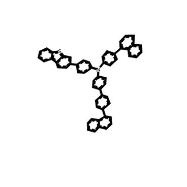 c1ccc2c(-c3ccc(-c4ccc(N(c5ccc(-c6ccc7c(c6)sc6ccccc67)cc5)c5ccc(-c6cccc7ccccc67)cc5)cc4)cc3)cccc2c1